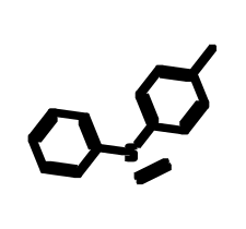 C=C.Cc1ccc(Sc2ccccc2)cc1